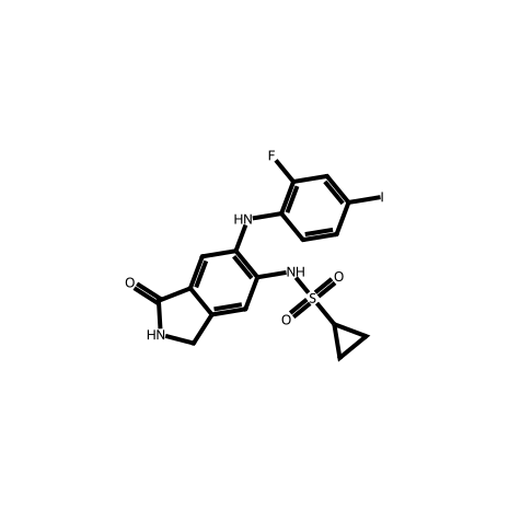 O=C1NCc2cc(NS(=O)(=O)C3CC3)c(Nc3ccc(I)cc3F)cc21